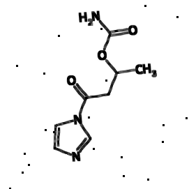 CC(CC(=O)n1ccnc1)OC(N)=O